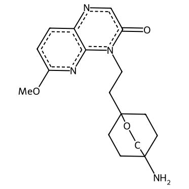 COc1ccc2ncc(=O)n(CCC34CCC(N)(CC3)CO4)c2n1